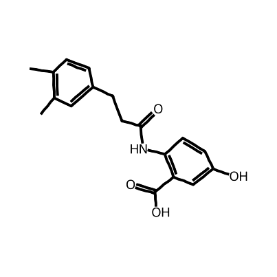 Cc1ccc(CCC(=O)Nc2ccc(O)cc2C(=O)O)cc1C